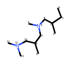 CCC(C)CN(C)CC(C)CN(C)C